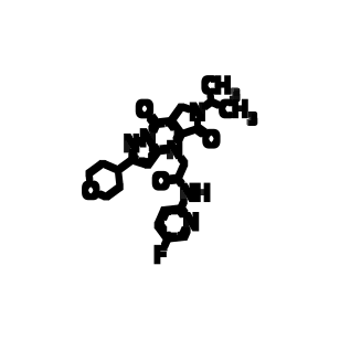 CC(C)N1Cc2c(n(CC(=O)Nc3ccc(F)cn3)c3cc(C4CCOCC4)nn3c2=O)C1=O